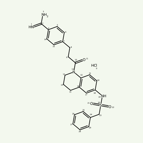 Cl.N=C(N)c1ccc(CCC(=O)N2CCCc3cc(NS(=O)(=O)Cc4ccccc4)ccc32)cc1